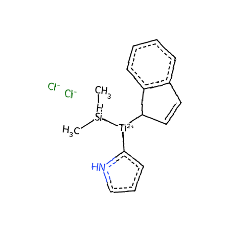 C[SiH](C)[Ti+2]([c]1ccc[nH]1)[CH]1C=Cc2ccccc21.[Cl-].[Cl-]